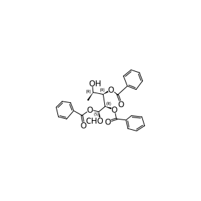 C[C@@H](O)[C@@H](OC(=O)c1ccccc1)[C@@H](OC(=O)c1ccccc1)[C@@H](C=O)OC(=O)c1ccccc1